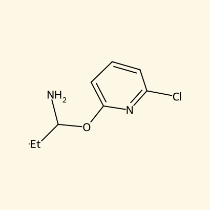 C[CH]C(N)Oc1cccc(Cl)n1